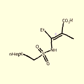 CCCCCCCCS(=O)(=O)N/C(CC)=C(\C)C(=O)O